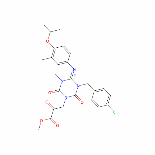 COC(=O)C(=O)Cn1c(=O)n(C)/c(=N\c2ccc(OC(C)C)c(C)c2)n(Cc2ccc(Cl)cc2)c1=O